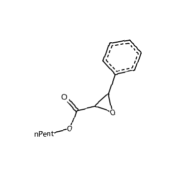 CCCCCOC(=O)C1OC1c1ccccc1